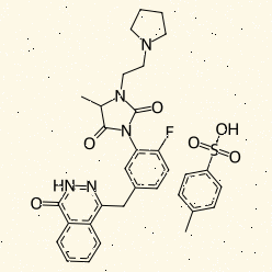 CC1C(=O)N(c2cc(Cc3n[nH]c(=O)c4ccccc34)ccc2F)C(=O)N1CCN1CCCC1.Cc1ccc(S(=O)(=O)O)cc1